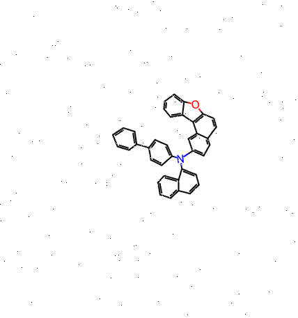 c1ccc(-c2ccc(N(c3ccc4ccc5oc6ccccc6c5c4c3)c3cccc4ccccc34)cc2)cc1